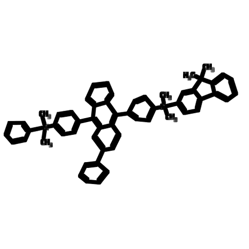 CC1(C)c2ccccc2-c2ccc([Si](C)(C)c3ccc(-c4c5ccccc5c(-c5ccc([Si](C)(C)c6ccccc6)cc5)c5cc(-c6ccccc6)ccc45)cc3)cc21